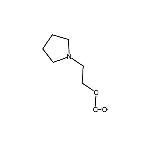 O=[C]OCCN1CCCC1